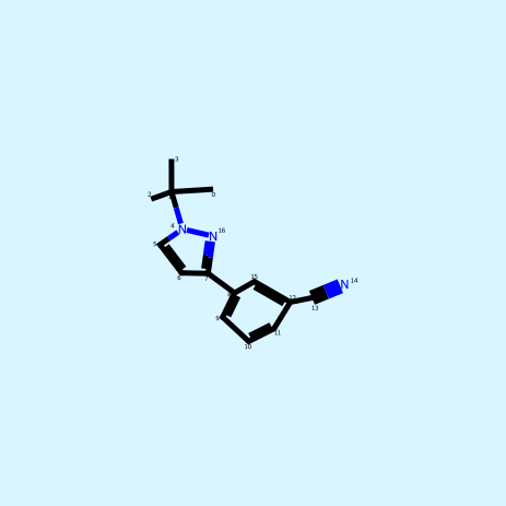 CC(C)(C)n1ccc(-c2cccc(C#N)c2)n1